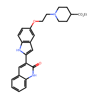 CCOC(=O)C1CCN(CCOc2ccc3[nH]c(-c4cc5ccccc5[nH]c4=O)cc3c2)CC1